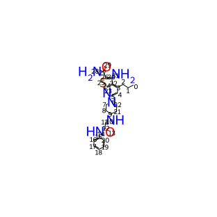 CCCc1cc(N2CCC(NCC(=O)Nc3ccccc3)CC2)nc2sc(C(N)=O)c(N)c12